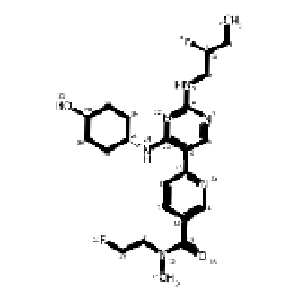 CC[C@H](F)CNc1ncc(-c2ccc(C(=O)N(C)CCF)cn2)c(N[C@H]2CC[C@H](O)CC2)n1